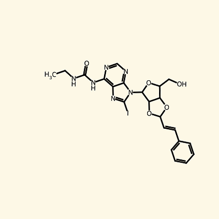 CCNC(=O)Nc1ncnc2c1nc(I)n2C1OC(CO)C2OC(/C=C/c3ccccc3)OC21